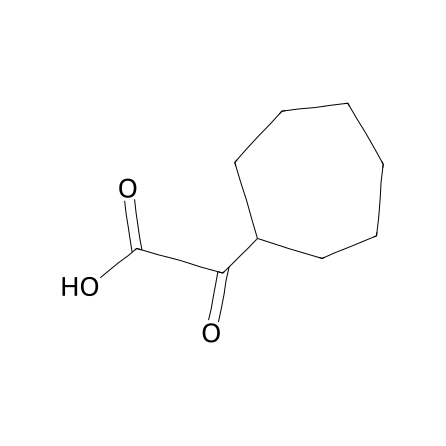 O=C(O)C(=O)C1CCCCCC1